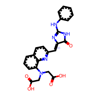 O=C(O)CN(CC(=O)O)c1cccc2ccc(/C=C3\N=C(Nc4ccccc4)NC3=O)nc12